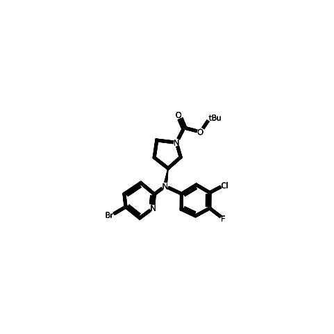 CC(C)(C)OC(=O)N1CC[C@H](N(c2ccc(F)c(Cl)c2)c2ccc(Br)cn2)C1